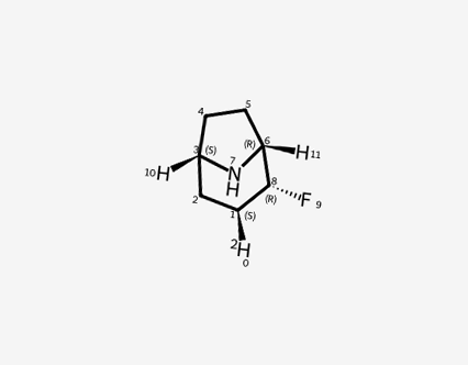 [2H][C@H]1C[C@@H]2CC[C@@H](N2)[C@@H]1F